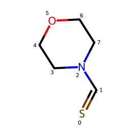 S=[C]N1CCOCC1